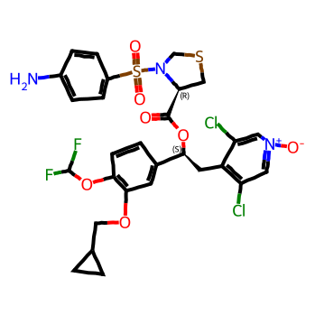 Nc1ccc(S(=O)(=O)N2CSC[C@H]2C(=O)O[C@@H](Cc2c(Cl)c[n+]([O-])cc2Cl)c2ccc(OC(F)F)c(OCC3CC3)c2)cc1